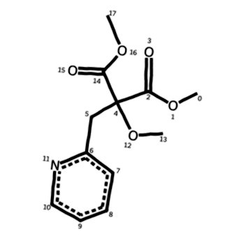 COC(=O)C(Cc1ccccn1)(OC)C(=O)OC